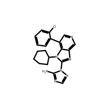 Nc1ncnn1-c1nc2cncc(-c3ccccc3Cl)c2n1C1CCCCC1